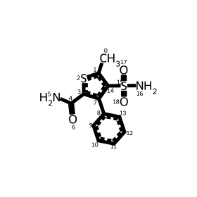 Cc1sc(C(N)=O)c(-c2ccccc2)c1S(N)(=O)=O